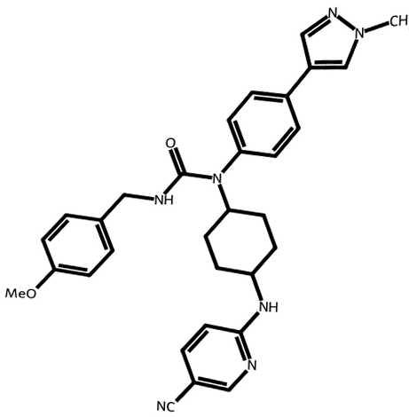 COc1ccc(CNC(=O)N(c2ccc(-c3cnn(C)c3)cc2)C2CCC(Nc3ccc(C#N)cn3)CC2)cc1